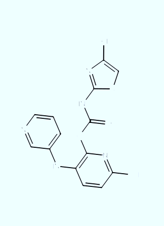 Cc1ccc(Nc2cccnc2)c(OC(=O)Nc2nc(C(F)(F)F)cs2)n1